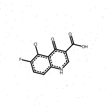 O=C(O)c1c[nH]c2ccc(F)c(Cl)c2c1=O